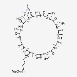 C/C=C/C[C@@H](C)[C@@H](O)[C@H]1C(=O)N[C@@H](CC)C(=O)N(C)CC(=O)N(C)[C@@H]([C@@H](C)OCCC/C=N\OC)C(=O)N[C@@H](C(C)C)C(=O)N(C)[C@@H](CC(C)C)C(=O)N[C@@H](C)C(=O)N[C@H](C)C(=O)N(C)[C@@H](CC(C)C)C(=O)N(C)[C@H](CC(C)C)C(=O)N(C)[C@@H](C(C)C)C(=O)N1C